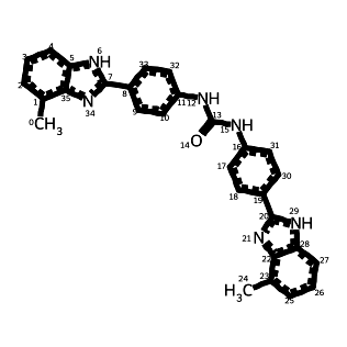 Cc1cccc2[nH]c(-c3ccc(NC(=O)Nc4ccc(-c5nc6c(C)cccc6[nH]5)cc4)cc3)nc12